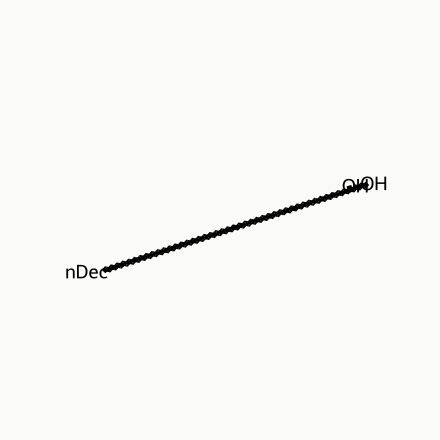 CCCCCCCCCCCCCCCCCCCCCCCCCCCCCCCCCCCCCCCCCCCCCCCCCCCCCCCCCCCCCCCCCCCCCCCCCCCCCCCCCCCCCCCCCCCCCCC(O)CCCCCO